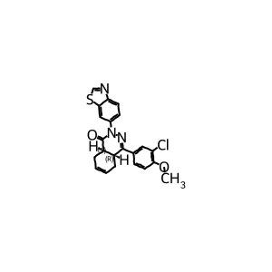 COc1ccc(C2=NN(c3ccc4ncsc4c3)C(=O)[C@H]3CC=CC[C@@H]23)cc1Cl